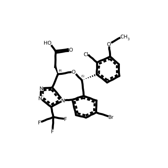 COc1cccc([C@H]2O[C@H](CC(=O)O)c3nnc(C(F)(F)F)n3-c3ccc(Br)cc32)c1Cl